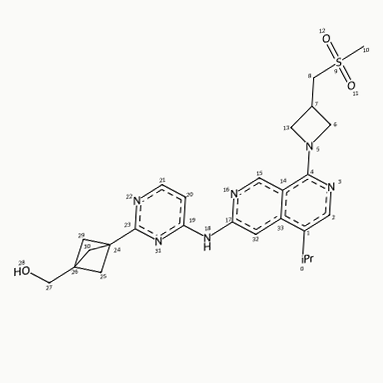 CC(C)c1cnc(N2CC(CS(C)(=O)=O)C2)c2cnc(Nc3ccnc(C45CC(CO)(C4)C5)n3)cc12